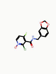 O=C(NCc1ccc2c(c1)OCO2)c1c(F)cc[n+]([O-])c1Cl